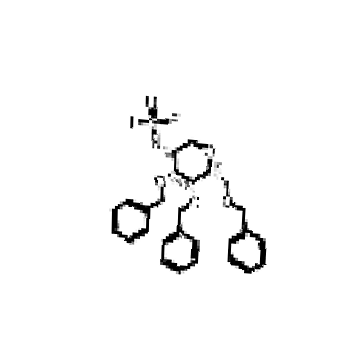 O=S(F)(F)=N[C@@H]1CO[C@H](COCc2ccccc2)[C@H](OCc2ccccc2)[C@@H]1OCc1ccccc1